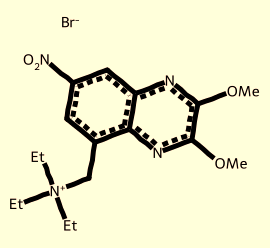 CC[N+](CC)(CC)Cc1cc([N+](=O)[O-])cc2nc(OC)c(OC)nc12.[Br-]